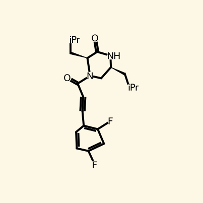 CC(C)C[C@H]1CN(C(=O)C#Cc2ccc(F)cc2F)[C@@H](CC(C)C)C(=O)N1